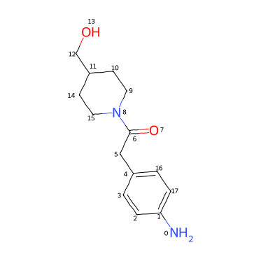 Nc1ccc(CC(=O)N2CCC(CO)CC2)cc1